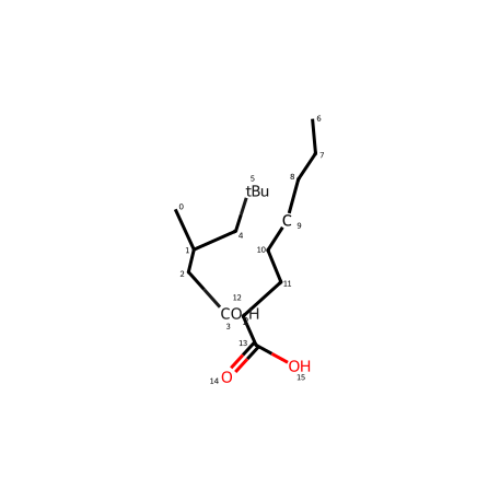 CC(CC(=O)O)CC(C)(C)C.CCCCCCCC(=O)O